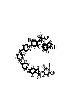 COc1cc(N2CCC(CN3CCN(CC4CCN(c5ccc6c(c5)CN([C@H]5CCC(=O)NC5=O)C6=O)CC4)CC3)CC2)c(F)cc1[C@@H]1N(c2cccc3[nH]ccc23)C(=O)C1(C)C